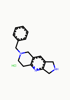 Cl.c1ccc(CN2CCc3nc4c(cc3C2)CNC4)cc1